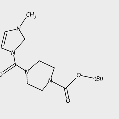 CN1C=CN(C(=O)N2CCN(C(=O)OC(C)(C)C)CC2)C1